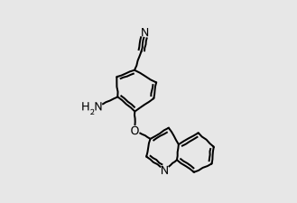 N#Cc1ccc(Oc2cnc3ccccc3c2)c(N)c1